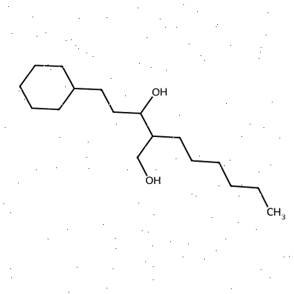 CCCCCCC(CO)C(O)CCC1CCCCC1